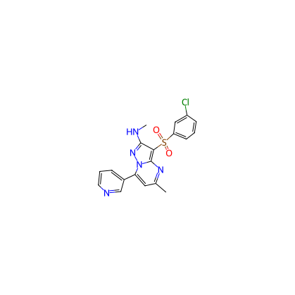 CNc1nn2c(-c3cccnc3)cc(C)nc2c1S(=O)(=O)c1cccc(Cl)c1